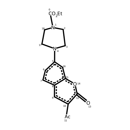 CCOC(=O)N1CCN(c2ccc3cc(C(C)=O)c(=O)oc3c2)CC1